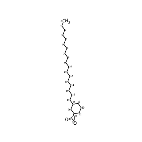 CCCCCCCCCCCCCCCCCCC1CCCC([N+](=O)[O-])C1